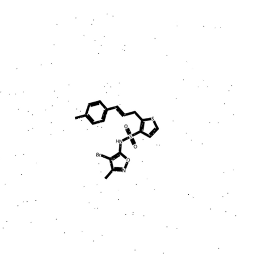 Cc1ccc(C=CCc2sccc2S(=O)(=O)Nc2onc(C)c2Br)cc1